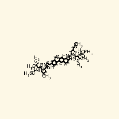 CC[C@H](C)C(NC(=O)OC)C(=O)N1C[C@@H](C)CC1c1ncc(-c2ccc3c(c2)COc2cc4c(ccc5nc([C@@H]6CC(COC)CN6C(=O)C(NC(=O)OC)C(C)C)[nH]c54)cc2-3)[nH]1